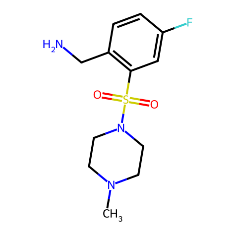 CN1CCN(S(=O)(=O)c2cc(F)ccc2CN)CC1